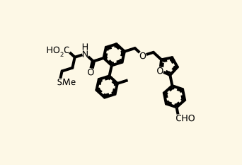 CSCCC(NC(=O)c1ccc(COCc2ccc(-c3ccc(C=O)cc3)o2)cc1-c1ccccc1C)C(=O)O